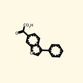 O=C(O)C(=O)c1ccc2c(-c3ccccc3)coc2c1